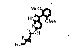 COc1cccc(OC)c1-c1c[nH]c2nc(NC(=O)C3CC3(F)CO)ccc12